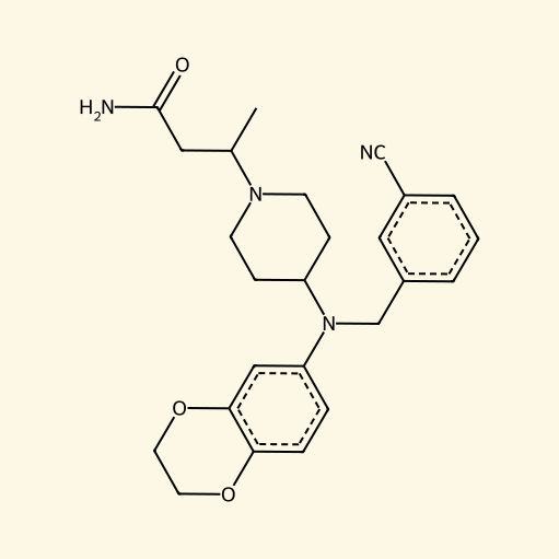 CC(CC(N)=O)N1CCC(N(Cc2cccc(C#N)c2)c2ccc3c(c2)OCCO3)CC1